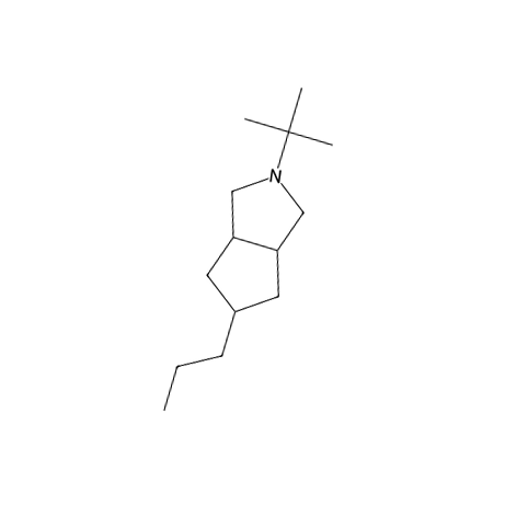 CCCC1CC2CN(C(C)(C)C)CC2C1